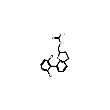 O=C(O)NCC1CCc2cccc(-c3c(Cl)cccc3Cl)c2O1